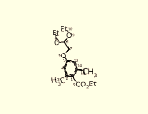 CCOC(=O)c1c(C)cc(OCC(OCC)OCC)cc1C